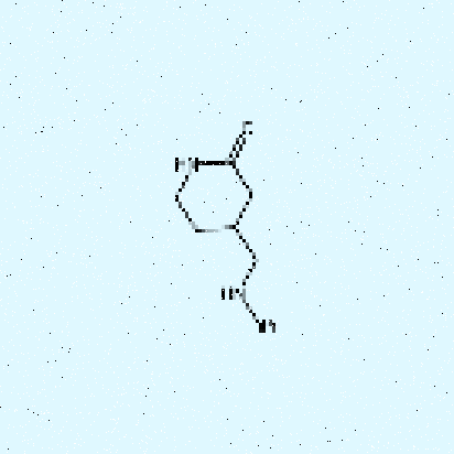 CC(C)NCC1CCNC(=O)C1